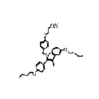 CCCCOc1ccc(-c2c(C)c3cc(OCCCC)ccc3n2Cc2ccc(OCCO)cc2)cc1